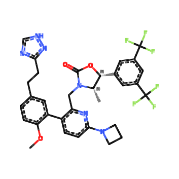 COc1ccc(CCc2nc[nH]n2)cc1-c1ccc(N2CCC2)nc1CN1C(=O)O[C@H](c2cc(C(F)(F)F)cc(C(F)(F)F)c2)[C@@H]1C